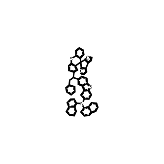 c1ccc(CC(c2ccc3c(c2)C2(c4ccccc4S3)c3ccccc3-c3ccccc32)c2ccc3sc4ccc(N(c5cccc6ccccc56)c5cccc6ccccc56)cc4c3c2)cc1